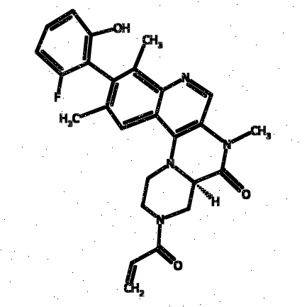 C=CC(=O)N1CCN2c3c(cnc4c(C)c(-c5c(O)cccc5F)c(C)cc34)N(C)C(=O)[C@H]2C1